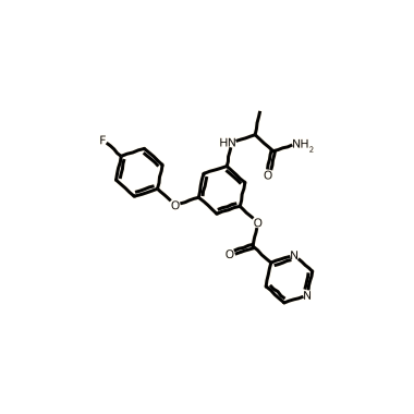 CC(Nc1cc(OC(=O)c2ccncn2)cc(Oc2ccc(F)cc2)c1)C(N)=O